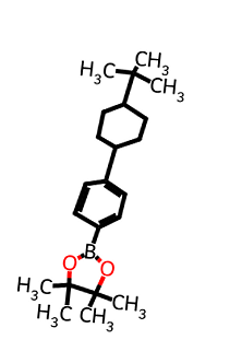 CC(C)(C)C1CCC(c2ccc(B3OC(C)(C)C(C)(C)O3)cc2)CC1